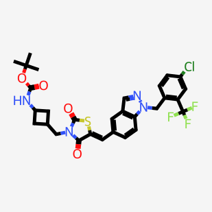 CC(C)(C)OC(=O)NC1CC(CN2C(=O)SC(=Cc3ccc4c(cnn4Cc4ccc(Cl)cc4C(F)(F)F)c3)C2=O)C1